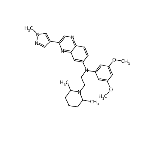 COc1cc(OC)cc(N(CCN2C(C)CCCC2C)c2ccc3ncc(-c4cnn(C)c4)nc3c2)c1